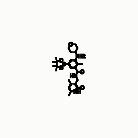 CCN(c1cc(B2OC(C)(C)C(C)(C)O2)cc(C(=O)NCc2c(C)cc(C)[nH]c2=O)c1C)C1CCOCC1